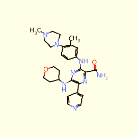 Cc1cc(Nc2nc(NC3CCOCC3)c(-c3ccncc3)nc2C(N)=O)ccc1N1CCN(C)CC1